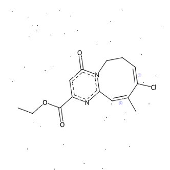 CCOC(=O)c1cc(=O)n2c(n1)/C=C(C)\C(Cl)=C/CC2